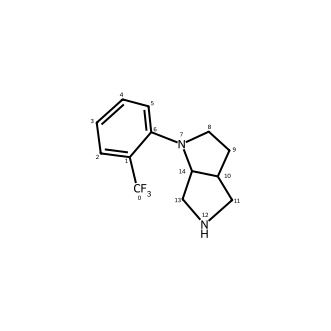 FC(F)(F)c1ccccc1N1CCC2CNCC21